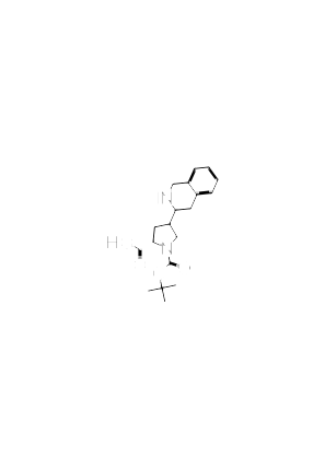 CC(C)(C)OC(=O)N1CC(C2Cc3ccccc3CN2)C[C@H]1C(=O)O